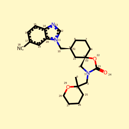 CC1(CN2C[C@@]3(CCC[C@H](Cn4cnc5ccc(C#N)cc54)C3)OC2=O)CCCCO1